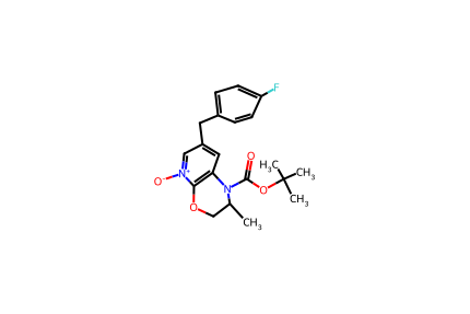 CC1COc2c(cc(Cc3ccc(F)cc3)c[n+]2[O-])N1C(=O)OC(C)(C)C